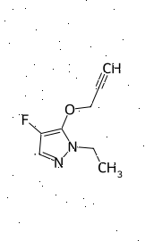 C#CCOc1c(F)[c]nn1CC